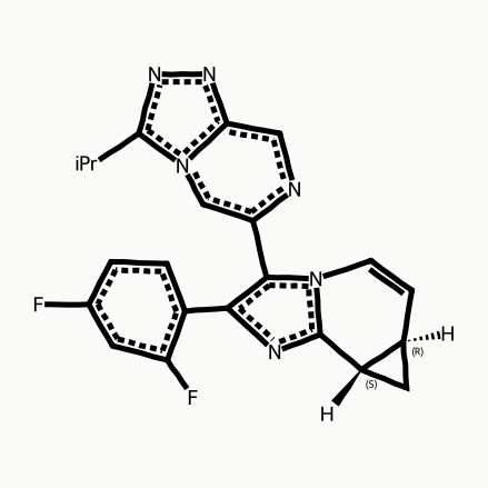 CC(C)c1nnc2cnc(-c3c(-c4ccc(F)cc4F)nc4n3C=C[C@H]3C[C@H]43)cn12